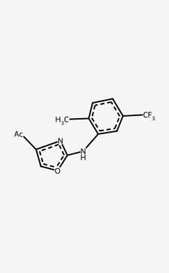 CC(=O)c1coc(Nc2cc(C(F)(F)F)ccc2C)n1